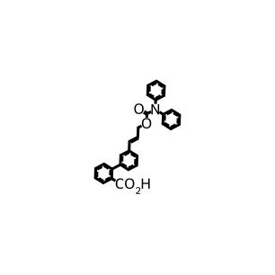 O=C(O)c1ccccc1-c1cccc(C=CCOC(=O)N(c2ccccc2)c2ccccc2)c1